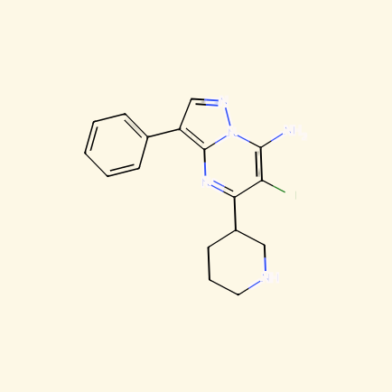 Nc1c(Cl)c(C2CCCNC2)nc2c(-c3ccccc3)cnn12